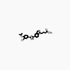 CC(C)Oc1ccc(-c2nc(-c3ccc4c(cnn4CCCC(=O)O)c3)no2)cc1Cl